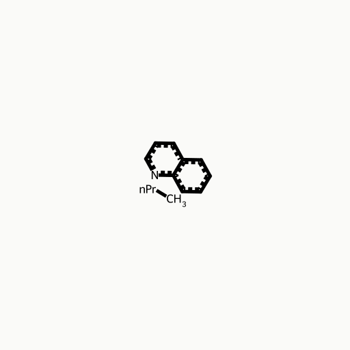 CCCC.c1ccc2ncccc2c1